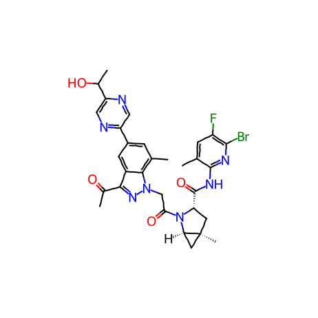 CC(=O)c1nn(CC(=O)N2[C@H](C(=O)Nc3nc(Br)c(F)cc3C)C[C@@]3(C)C[C@@H]23)c2c(C)cc(-c3cnc(C(C)O)cn3)cc12